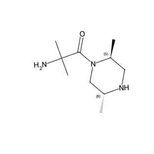 C[C@@H]1CN(C(=O)C(C)(C)N)[C@@H](C)CN1